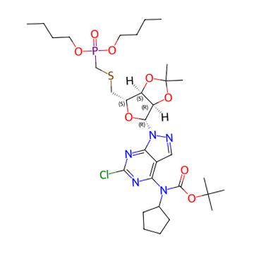 CCCCOP(=O)(CSC[C@H]1O[C@@H](n2ncc3c(N(C(=O)OC(C)(C)C)C4CCCC4)nc(Cl)nc32)[C@@H]2OC(C)(C)O[C@@H]21)OCCCC